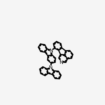 c1cc2c(c(-n3c4ccccc4c4cc(-n5c6ccccc6c6ccccc65)ccc43)c1)-c1cncc3cccc-2c13